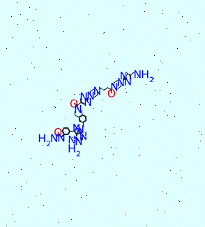 NCc1cnc(N2CCN(C(=O)CCCN3CCN(c4ncc(C(=O)N5CCc6cc(Cn7nc(-c8ccc9oc(N)nc9c8)c8c(N)ncnc87)ccc6C5)cn4)CC3)CC2)nc1